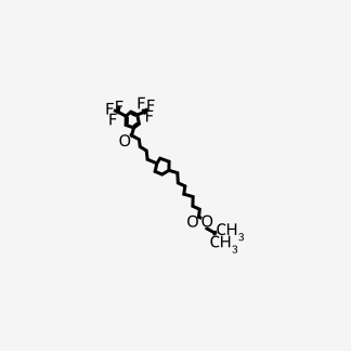 CC(C)COC(=O)CCCCCCCC1CCC(CCCCC(=O)c2cc(C(F)(F)F)cc(C(F)(F)F)c2)CC1